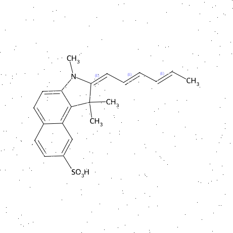 C/C=C/C=C/C=C1/N(C)c2ccc3ccc(S(=O)(=O)O)cc3c2C1(C)C